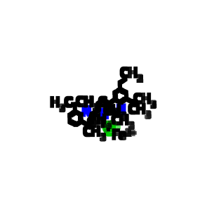 C=CCc1cc(C(C)C)c(/N=C(/C)c2cccc(/C(C)=N/c3c(C(C)C)cccc3C(C)C)n2)c(C(C)C)c1.[Cl-].[Cl-].[Fe+2]